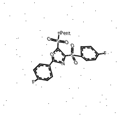 CCCCCS(=O)(=O)c1oc(-c2ccc(F)cc2)nc1S(=O)(=O)c1ccc(F)cc1